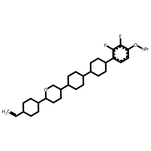 C=CC1CCC(C2CCC(C3CCC(C4CCC(c5ccc(OCCC)c(F)c5F)CC4)CC3)CO2)CC1